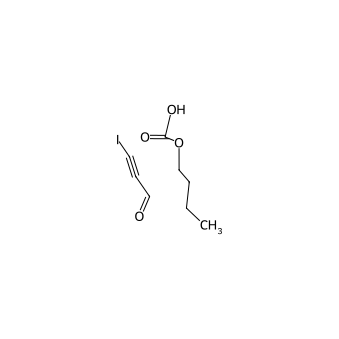 CCCCOC(=O)O.O=CC#CI